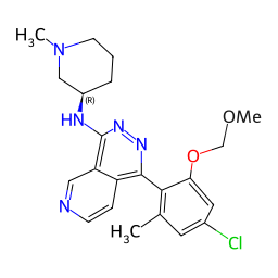 COCOc1cc(Cl)cc(C)c1-c1nnc(N[C@@H]2CCCN(C)C2)c2cnccc12